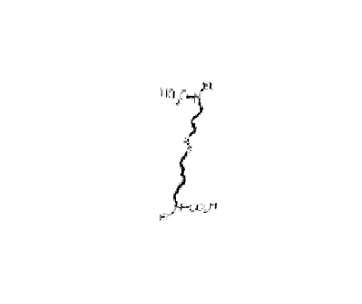 CCN(CCCSSCCCN(CC)C(=O)O)C(=O)O